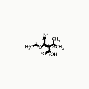 CCOC(C#N)=C(C(=O)O)C(C)C